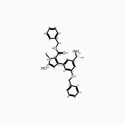 C[C@@H](N)c1cc(OCc2ccccc2)cc(-c2ccn(C)c2C(=O)OCc2ccccc2)c1.Cl